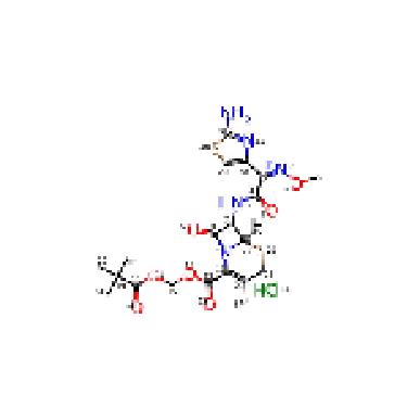 CO/N=C(\C(=O)NC1C(=O)N2C(C(=O)OCOC(=O)C(C)(C)C)=C(C)CS[C@H]12)c1csc(N)n1.Cl